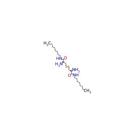 CCCCCCCCNC(=O)[C@@H](N)CSSC[C@H](N)C(=O)NCCCCCCCC